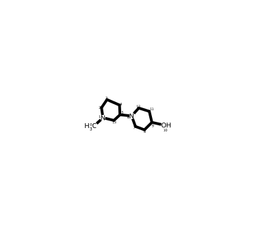 CN1CCCC(N2CCC(O)CC2)C1